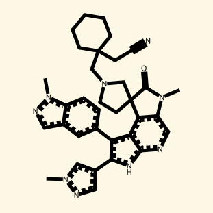 CN1C(=O)C2(CCN(CC3(CC#N)CCCCC3)C2)c2c1cnc1[nH]c(-c3cnn(C)c3)c(-c3ccc4c(cnn4C)c3)c21